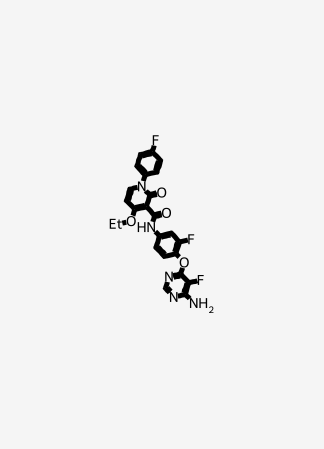 CCOc1ccn(-c2ccc(F)cc2)c(=O)c1C(=O)Nc1ccc(Oc2ncnc(N)c2F)c(F)c1